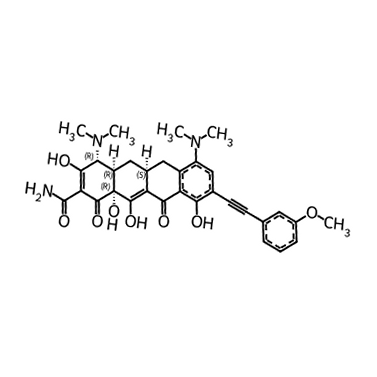 COc1cccc(C#Cc2cc(N(C)C)c3c(c2O)C(=O)C2=C(O)[C@@]4(O)C(=O)C(C(N)=O)=C(O)[C@H](N(C)C)[C@H]4C[C@H]2C3)c1